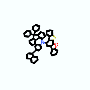 c1ccc(C2(c3ccccc3)c3ccccc3-c3c(N(c4ccc(-c5cccc6ccccc56)cc4)c4cc5c6ccccc6oc5c5sc6ccccc6c45)cccc32)cc1